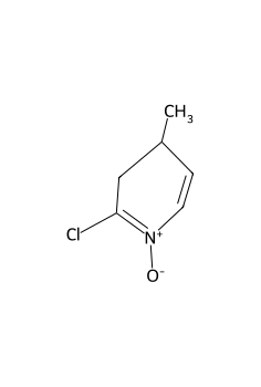 CC1C=C[N+]([O-])=C(Cl)C1